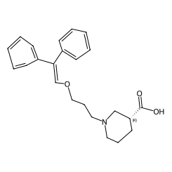 O=C(O)[C@@H]1CCCN(CCCOC=C(c2ccccc2)c2ccccc2)C1